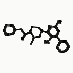 CC(C)c1cc(-c2ccccc2)c(C#N)c(N2CCN(C(=O)Cc3ccccc3)C(C)C2)n1